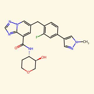 Cn1cc(-c2ccc(Cc3cc(C(=O)N[C@H]4CCOC[C@@H]4O)c4ncnn4c3)c(F)c2)cn1